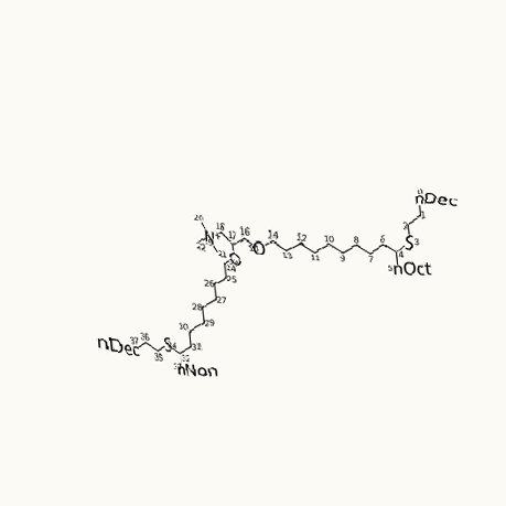 CCCCCCCCCCCCSC(CCCCCCCC)CCCCCCCCCOCC(C[N+](C)(C)C)OCCCCCCCCC(CCCCCCCCC)SCCCCCCCCCCCC